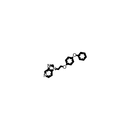 c1ccc(Oc2ccc(OCCn3cnc4cnccc43)cc2)cc1